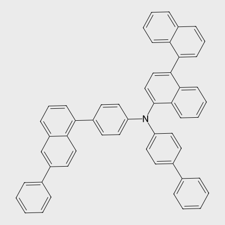 c1ccc(-c2ccc(N(c3ccc(-c4cccc5cc(-c6ccccc6)ccc45)cc3)c3ccc(-c4cccc5ccccc45)c4ccccc34)cc2)cc1